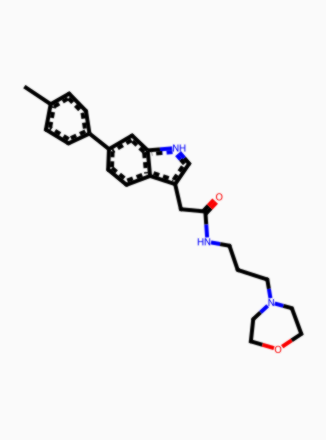 Cc1ccc(-c2ccc3c(CC(=O)NCCCN4CCOCC4)c[nH]c3c2)cc1